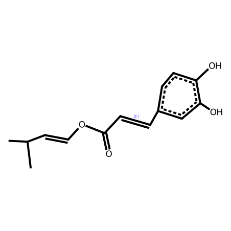 CC(C)C=COC(=O)/C=C/c1ccc(O)c(O)c1